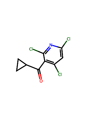 O=C(c1c(Cl)cc(Cl)nc1Cl)C1CC1